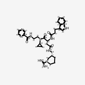 N=C(N)N1CCC[C@@H](CNC(=O)C[C@H](NC(=O)CCc2c[nH]c3ccccc23)C(=O)N(CCNC(=O)c2cnccn2)C2CC2)C1